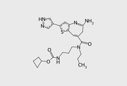 CCCN(CCCNC(=O)OC1CCC1)C(=O)C1=Cc2sc(-c3cn[nH]c3)cc2N=C(N)C1